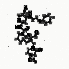 CN1CCN(Cc2cc3c(nc2C=O)N(C(=O)Nc2cc(NCCSc4ccccc4)c(C#N)cn2)CCC3)C(=O)C1